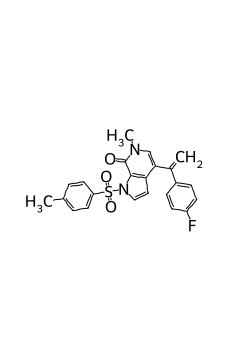 C=C(c1ccc(F)cc1)c1cn(C)c(=O)c2c1ccn2S(=O)(=O)c1ccc(C)cc1